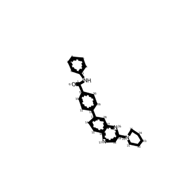 O=C(Nc1ccccc1)c1ccc(-c2ccc3ncc(N4CCCCC4)nc3c2)cc1